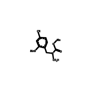 COc1cc(C#N)ccc1CN(C(=O)O)C(=O)OC(C)(C)C